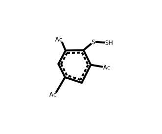 CC(=O)c1cc(C(C)=O)c(SS)c(C(C)=O)c1